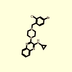 Clc1cc(Br)ccc1CN1CCN(c2nc3ccccc3nc2NC2CC2)CC1